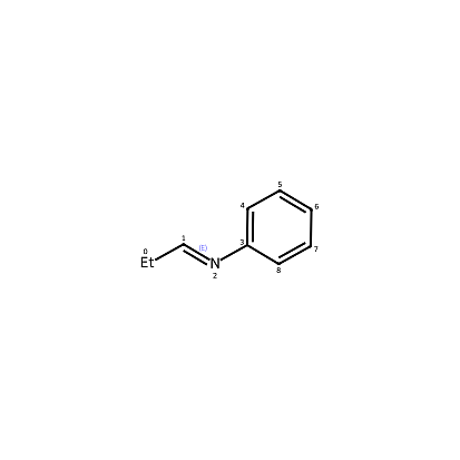 CC/C=N/c1ccccc1